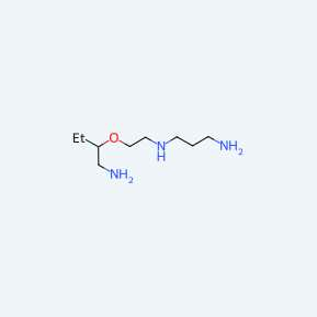 CCC(CN)OCCNCCCN